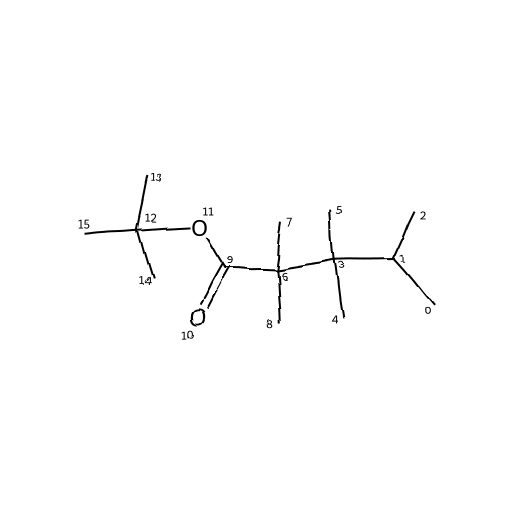 CC(C)C(C)(C)C(C)(C)C(=O)OC(C)(C)C